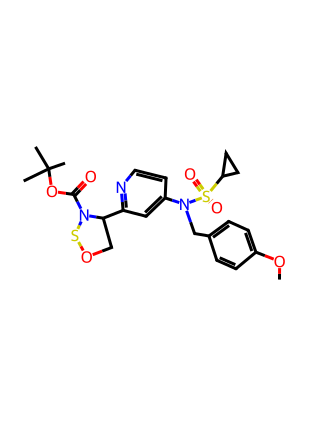 COc1ccc(CN(c2ccnc(C3COSN3C(=O)OC(C)(C)C)c2)S(=O)(=O)C2CC2)cc1